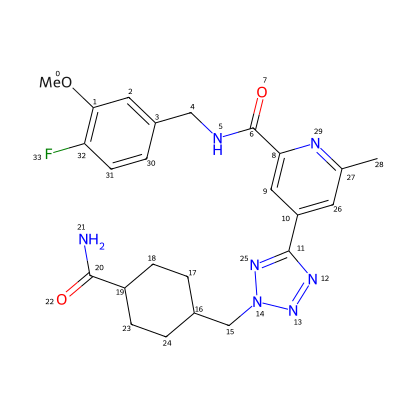 COc1cc(CNC(=O)c2cc(-c3nnn(CC4CCC(C(N)=O)CC4)n3)cc(C)n2)ccc1F